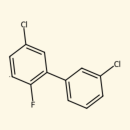 Fc1[c]cc(Cl)cc1-c1cccc(Cl)c1